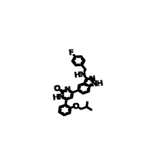 CC(C)COc1ccccc1-c1cc(-c2ccc3[nH]nc(NCc4ccc(F)cc4)c3c2)nc(=O)[nH]1